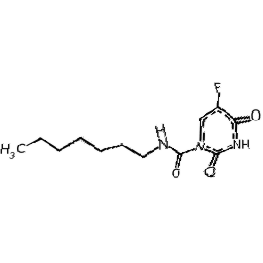 CCCCCCCNC(=O)n1cc(F)c(=O)[nH]c1=O